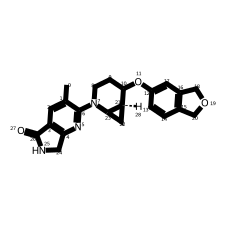 Cc1cc2c(nc1N1CCC(Oc3ccc4c(c3)COC4)[C@H]3CC31)CNC2=O